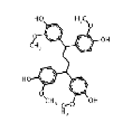 COc1cc(C(CCC(c2ccc(O)c(OC)c2)c2ccc(O)c(OC)c2)c2ccc(O)c(OC)c2)ccc1O